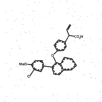 C=CC(C(=O)O)c1ccc(Oc2c(-c3ccc(OC)c(Cl)c3)ccc3ccccc23)cc1